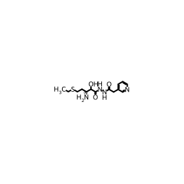 CCSCC[C@@H](N)C(O)C(=O)NNC(=O)Cc1cccnc1